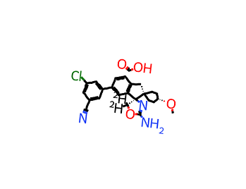 O=CO.[2H]C1([2H])OC(N)=N[C@]12c1cc(-c3cc(Cl)cc(C#N)c3)ccc1C[C@]21CC[C@@H](OC)CC1